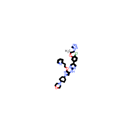 C[C@@H](Cn1cnnn1)Oc1cc(-c2cnc(Nc3cn(C4CCC(N5CCOCC5)CC4)nc3OCCc3ccccn3)nc2)ccc1Cl